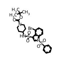 CC(C)(C)OC(=O)N1CCC(NS(=O)(=O)c2cn(S(=O)(=O)c3ccccc3)c3cccc(Br)c23)CC1